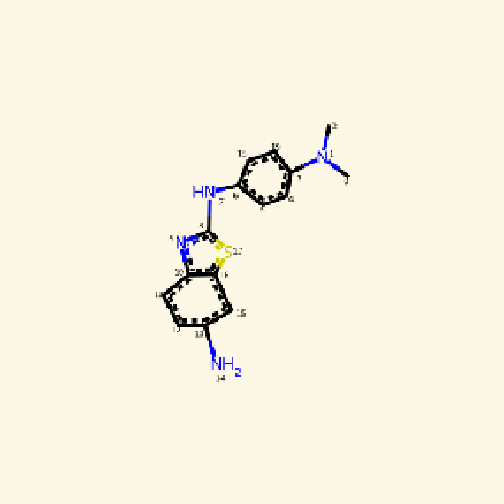 CN(C)c1ccc(Nc2nc3ccc(N)cc3s2)cc1